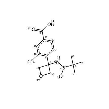 CC(C)(C)[S+]([O-])NC1(c2ccc(C(=O)O)cc2Cl)COC1